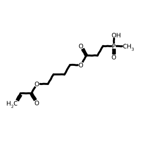 C=CC(=O)OCCCCOC(=O)CCP(C)(=O)O